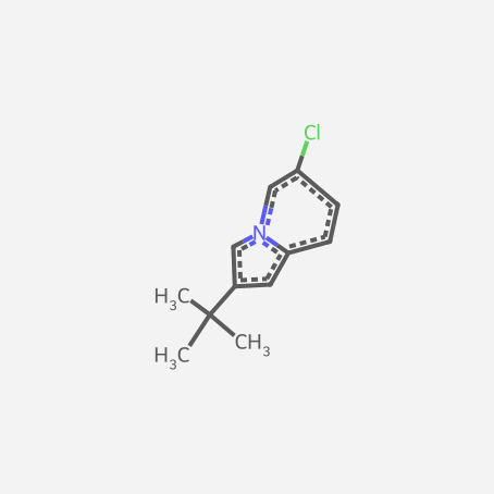 CC(C)(C)c1cc2ccc(Cl)cn2c1